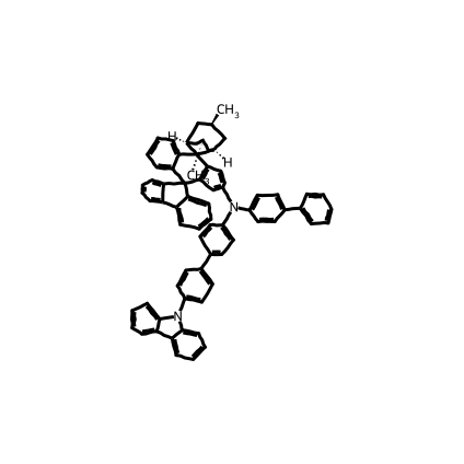 C[C@H]1C[C@@H]2C[C@@H](C)C[C@H](C1)C21c2ccccc2C2(c3ccccc3-c3ccccc32)c2cc(N(c3ccc(-c4ccccc4)cc3)c3ccc(-c4ccc(-n5c6ccccc6c6ccccc65)cc4)cc3)ccc21